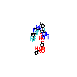 CCc1cccc2c1-n1nc3c(c1C1(C)C(F)=CC(C)(NC(=O)NC(=O)OCc4ccc(OP(=O)(O)OCc5ccccc5)cc4)C(F)=C21)CN(Cc1ccc(C(F)(F)F)cc1C(F)(F)F)C3(C)C